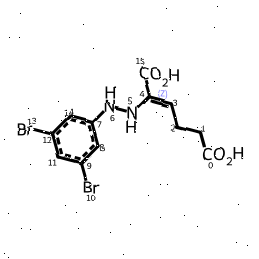 O=C(O)CC/C=C(\NNc1cc(Br)cc(Br)c1)C(=O)O